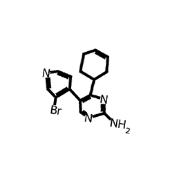 Nc1ncc(-c2ccncc2Br)c(C2CC=CCC2)n1